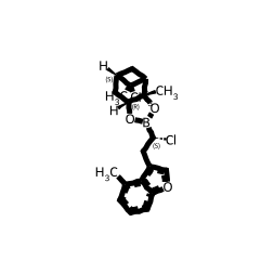 Cc1cccc2occ(C[C@@H](Cl)B3O[C@@H]4C[C@@H]5CC(C5(C)C)[C@]4(C)O3)c12